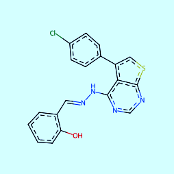 Oc1ccccc1/C=N/Nc1ncnc2scc(-c3ccc(Cl)cc3)c12